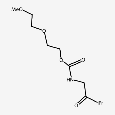 COCCOCCOC(=O)NCC(=O)C(C)C